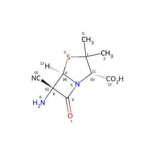 CC1(C)S[C@H]2N(C(=O)[C@@]2(N)C#N)[C@H]1C(=O)O